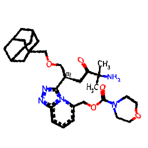 CC(C)(N)C(=O)C[C@H](COCC12CC3CC(CC(C3)C1)C2)c1nnc2cccc(COC(=O)N3CCOCC3)n12